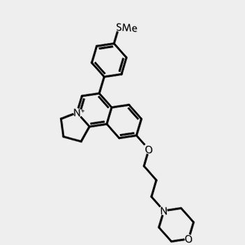 CSc1ccc(-c2c[n+]3c(c4cc(OCCCN5CCOCC5)ccc24)CCC3)cc1